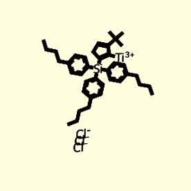 CCCCc1ccc([Si](C2=[C]([Ti+3])C(C(C)(C)C)=CC2)(c2ccc(CCCC)cc2)c2ccc(CCCC)cc2)cc1.[Cl-].[Cl-].[Cl-]